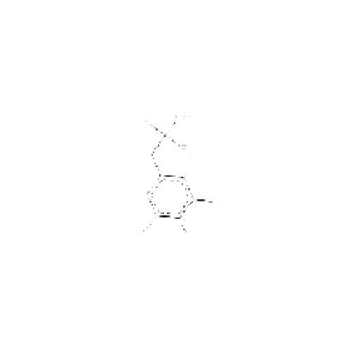 CC(F)(F)Cc1cc(Cl)c(Cl)c(Cl)c1